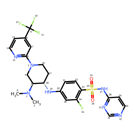 CN(C)[C@H]1CN(c2cc(C(F)(F)F)ccn2)CC[C@@H]1Nc1ccc(S(=O)(=O)Nc2ccncn2)c(F)c1